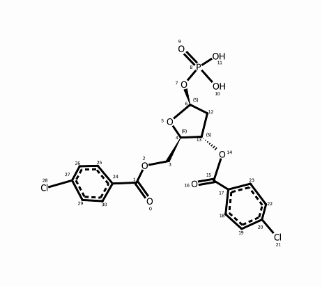 O=C(OC[C@H]1O[C@@H](OP(=O)(O)O)C[C@@H]1OC(=O)c1ccc(Cl)cc1)c1ccc(Cl)cc1